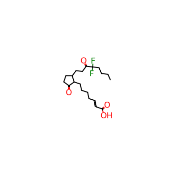 CCCCC(F)(F)C(=O)CCC1CCC(=O)C1CCCC/C=C/C(=O)O